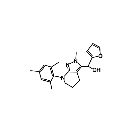 Cc1cc(C)c(N2CCCc3c2nn(C)c3C(O)c2ccco2)c(C)c1